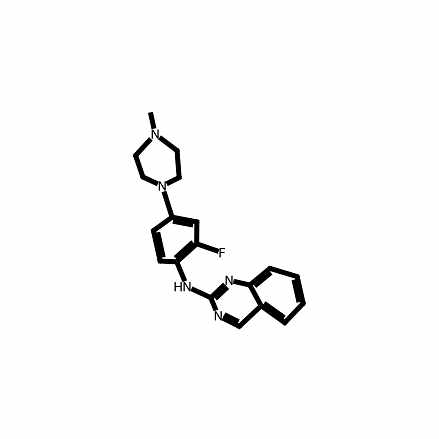 CN1CCN(c2ccc(Nc3ncc4ccccc4n3)c(F)c2)CC1